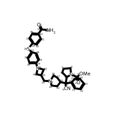 COC(=O)N1CCCC1C(C#N)(c1ccccc1)C1CCN(CC2CN(c3ccc(Sc4ccc(C(N)=O)cc4)cc3)C2)CC1